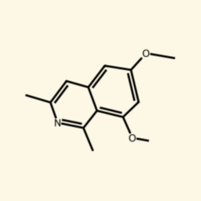 COc1cc(OC)c2c(C)nc(C)cc2c1